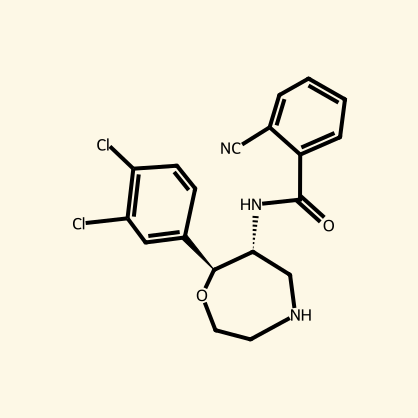 N#Cc1ccccc1C(=O)N[C@@H]1CNCCO[C@H]1c1ccc(Cl)c(Cl)c1